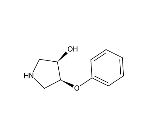 O[C@@H]1CNC[C@@H]1Oc1ccccc1